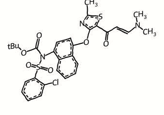 Cc1nc(Oc2ccc(N(C(=O)OC(C)(C)C)S(=O)(=O)c3ccccc3Cl)c3ccccc23)c(C(=O)/C=C/N(C)C)s1